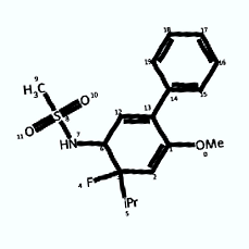 COC1=CC(F)(C(C)C)C(NS(C)(=O)=O)C=C1c1ccccc1